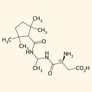 CC(NC(=O)C1C(C)(C)CCC1(C)C)NC(=O)[C@@H](N)CC(=O)O